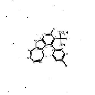 CCCC(C)(C(=O)O)c1c(C)nc2sc3c(c2c1-c1ccc(C)cc1)CC=CC=C3